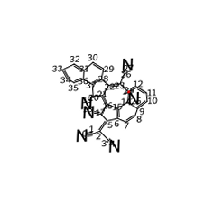 N#CC(C#N)=C1c2ccc3ccccc3c2-c2c1nnc1c2C(=C(C#N)C#N)c2ccc3ccccc3c2-1